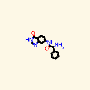 N[C@@H](C(=O)Nc1ccc2c(=O)[nH]cnc2c1)c1ccccc1